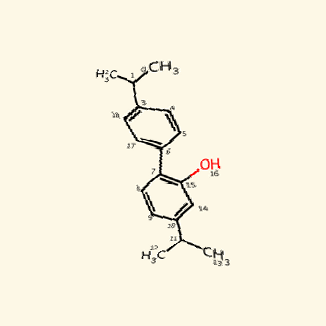 CC(C)c1ccc(-c2ccc(C(C)C)cc2O)cc1